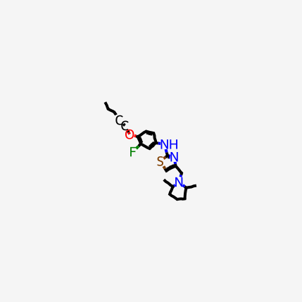 CCCCCOc1ccc(Nc2nc(CN3C(C)CCCC3C)cs2)cc1F